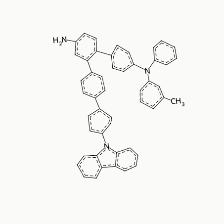 Cc1cccc(N(c2ccccc2)c2ccc(-c3ccc(N)cc3-c3ccc(-c4ccc(-n5c6ccccc6c6ccccc65)cc4)cc3)cc2)c1